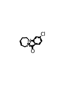 O=c1c2ccc(Cl)cc2n2n1CC=CCC2